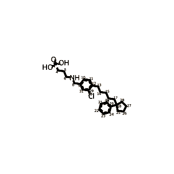 O=P(O)(O)CCCNCc1ccc(CCCCCC2(c3ccccc3)CCCC2)c(Cl)c1